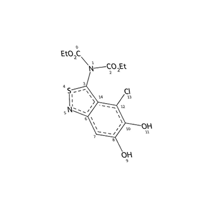 CCOC(=O)N(C(=O)OCC)c1snc2cc(O)c(O)c(Cl)c12